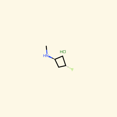 CN[C@H]1C[C@H](F)C1.Cl